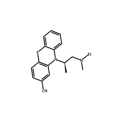 CCN(C)C[C@@H](C)N1c2ccccc2Sc2ccc(C#N)cc21